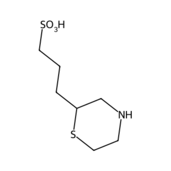 O=S(=O)(O)CCCC1CNCCS1